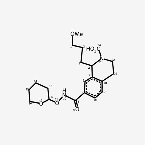 COCCCC1c2cc(C(=O)NOC3CCCCO3)ccc2CCN1C(=O)O